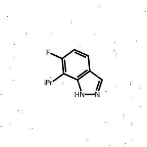 CC(C)c1c(F)ccc2cn[nH]c12